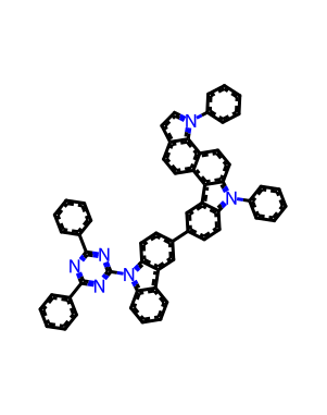 c1ccc(-c2nc(-c3ccccc3)nc(-n3c4ccccc4c4cc(-c5ccc6c(c5)c5c7ccc8ccn(-c9ccccc9)c8c7ccc5n6-c5ccccc5)ccc43)n2)cc1